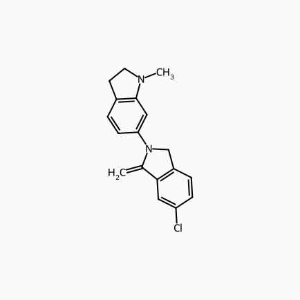 C=C1c2cc(Cl)ccc2CN1c1ccc2c(c1)N(C)CC2